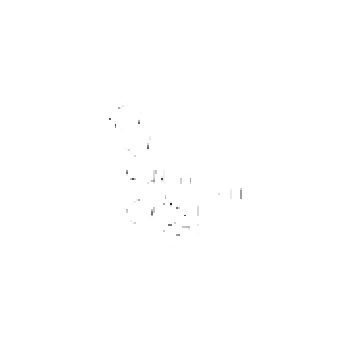 CCCOC1N=C(Oc2ccc3cccnc3c2)c2ccccc2N1NS(C)(=O)=O